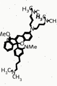 CNc1cc(CCCN(C)C)ccc1C1(c2ccccc2)Oc2ccc(N(CCCN(C)C)CCCN(C)C)cc2C=C1C(=O)OC